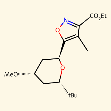 CCOC(=O)c1noc([C@@H]2C[C@@H](OC)C[C@@H](C(C)(C)C)O2)c1C